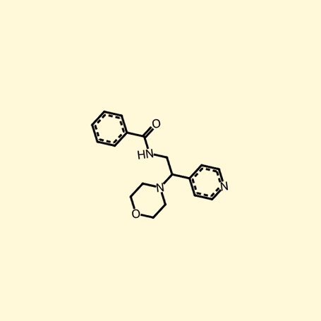 O=C(NCC(c1ccncc1)N1CCOCC1)c1ccccc1